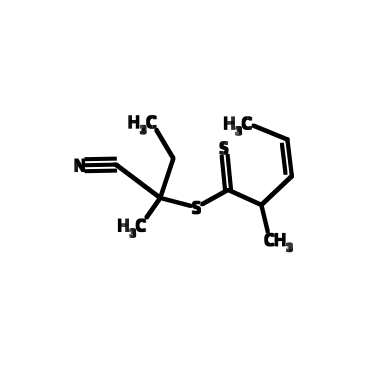 C/C=C\C(C)C(=S)SC(C)(C#N)CC